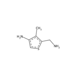 Cc1c(N)csc1CN